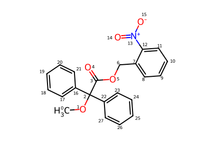 COC(C(=O)OCc1ccccc1[N+](=O)[O-])(c1ccccc1)c1ccccc1